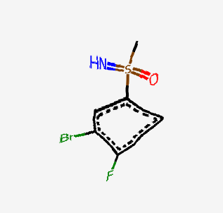 CS(=N)(=O)c1ccc(F)c(Br)c1